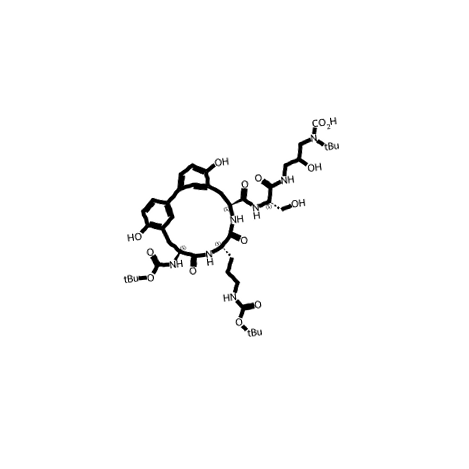 CC(C)(C)OC(=O)NCCC[C@@H]1NC(=O)[C@@H](NC(=O)OC(C)(C)C)Cc2cc(ccc2O)-c2ccc(O)c(c2)C[C@@H](C(=O)N[C@@H](CO)C(=O)NCC(O)CN(C(=O)O)C(C)(C)C)NC1=O